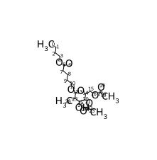 CCCCOC(=O)CCCCOC1OC(COC(C)=O)C(OC(C)=O)C(O)C1C